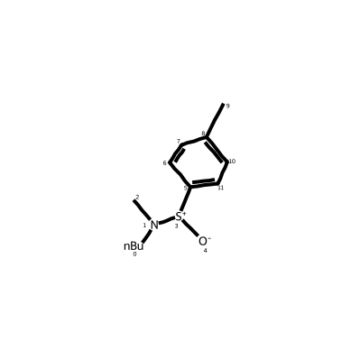 CCCCN(C)[S+]([O-])c1ccc(C)cc1